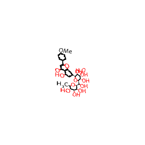 COc1ccc(-c2cc(=O)c3c(O)cc([C@@H]4O[C@H](C(O)[C@@H]5O[C@H](C)[C@@H](O)[C@H](O)[C@@H]5O)[C@@H](O)[C@H](O)[C@H]4O)cc3o2)cc1.O